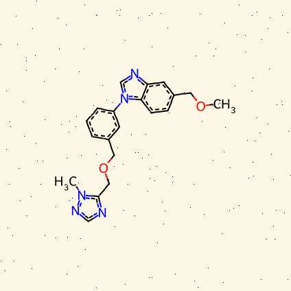 COCc1ccc2c(c1)ncn2-c1cccc(COCc2ncnn2C)c1